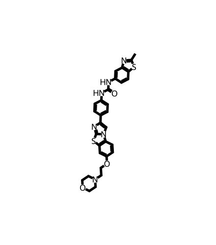 Cc1nc2cc(NC(=O)Nc3ccc(-c4cn5c(n4)sc4cc(OCCN6CCOCC6)ccc45)cc3)ccc2s1